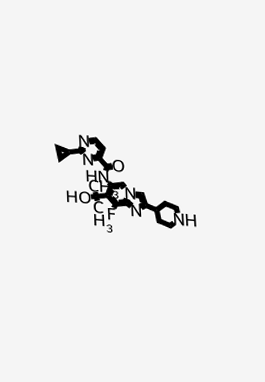 CC(C)(O)c1c(NC(=O)c2ccnc(C3CC3)n2)cn2cc(C3CCNCC3)nc2c1F